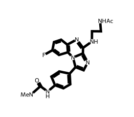 CNC(=O)Nc1ccc(-c2cnc3c(NCCNC(C)=O)nc4ccc(F)cc4n23)cc1